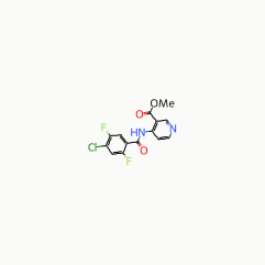 COC(=O)c1cnccc1NC(=O)c1cc(F)c(Cl)cc1F